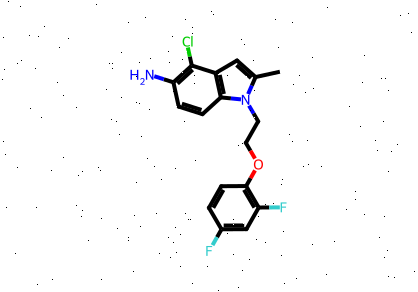 Cc1cc2c(Cl)c(N)ccc2n1CCOc1ccc(F)cc1F